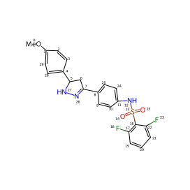 COc1ccc(C2CC(c3ccc(NS(=O)(=O)c4c(F)cccc4F)cc3)=NN2)cc1